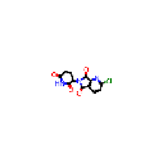 O=C1CCC(N2C(=O)c3ccc(Cl)nc3C2=O)C(=O)N1